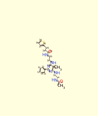 CC(=O)NCCNc1nc(-c2ccccc2)nc(NCCNC(=O)CCc2cccs2)c1C